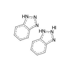 I.c1ccc2[nH]nnc2c1.c1ccc2[nH]nnc2c1